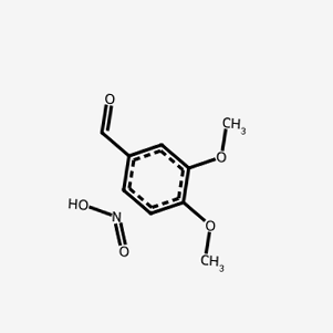 COc1ccc(C=O)cc1OC.O=NO